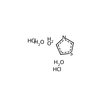 Cl.Cl.O.O.O.c1cscn1